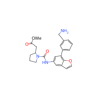 COC(=O)CC1CCCN1C(=O)Nc1cc(-c2cccc(CN)c2)c2occc2c1